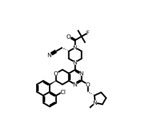 CN1CCC[C@H]1COc1nc2c(c(N3CCN(C(=O)C(C)(C)F)[C@@H](CC#N)C3)n1)CO[C@H](c1cccc3cccc(Cl)c13)C2